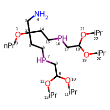 CCCOC(CN)(CCPCC(OC(C)C)OC(C)C)CCPCC(OC(C)C)OC(C)C